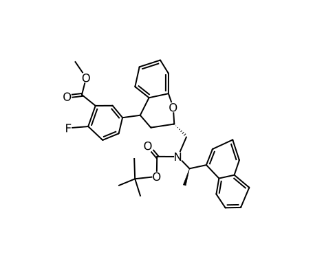 COC(=O)c1cc(C2C[C@@H](CN(C(=O)OC(C)(C)C)[C@H](C)c3cccc4ccccc34)Oc3ccccc32)ccc1F